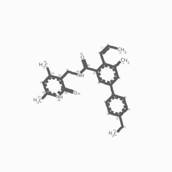 C/C=C\c1c(C)cc(-c2ccc(CC)cc2)cc1C(=O)NCc1c(C)cc(C)[nH]c1=O